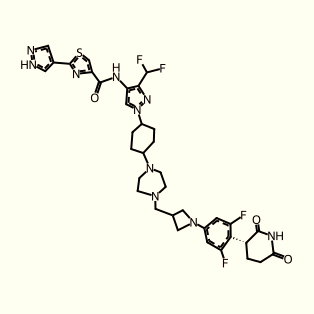 O=C1CC[C@H](c2c(F)cc(N3CC(CN4CCN(C5CCC(n6cc(NC(=O)c7csc(-c8cn[nH]c8)n7)c(C(F)F)n6)CC5)CC4)C3)cc2F)C(=O)N1